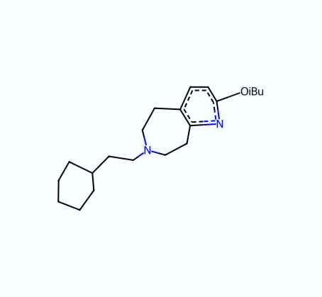 CC(C)COc1ccc2c(n1)CCN(CCC1CCCCC1)CC2